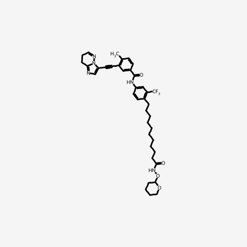 Cc1ccc(C(=O)Nc2ccc(CCCCCCCCCCC(=O)NOC3CCCCO3)c(C(F)(F)F)c2)cc1C#Cc1cnc2n1N=CCC2